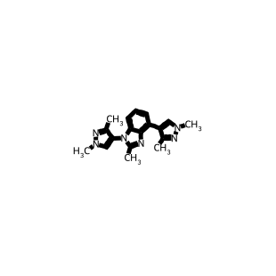 Cc1nn(C)cc1-c1cccc2c1nc(C)n2-c1cn(C)nc1C